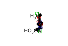 Cc1c(Cl)cccc1OCCCC(=O)N1CCCOc2c(-c3cnn(Cc4ccc(C(=O)O)cc4Cl)c3)cccc21